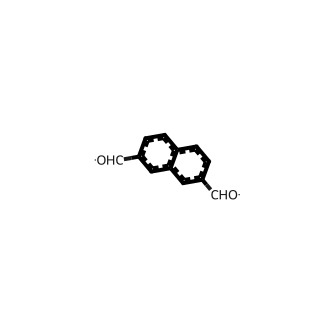 O=[C]c1ccc2ccc([C]=O)cc2c1